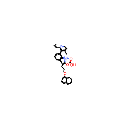 CC(C)=Cc1nccc(C)c1-c1cccc2c(CCCOc3cccc4ccccc34)c(OC(=O)O)[nH]c12